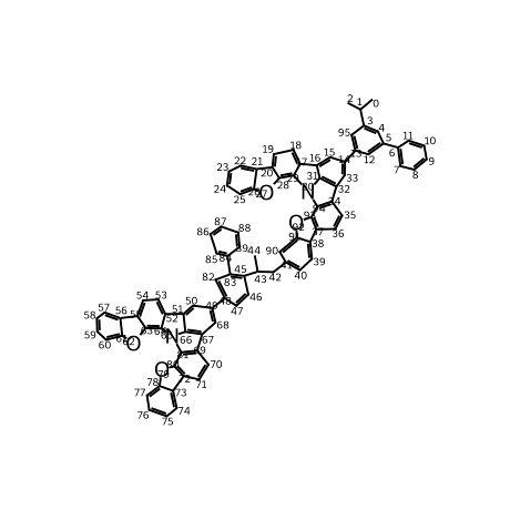 CC(C)c1cc(-c2ccccc2)cc(-c2cc3c4ccc5c6ccccc6oc5c4n4c3c(c2)c2ccc3c5ccc(CC(C)c6ccc(-c7cc8c9ccc%10c%11ccccc%11oc%10c9n9c8c(c7)c7ccc8c%10ccccc%10oc8c79)cc6-c6ccccc6)cc5oc3c24)c1